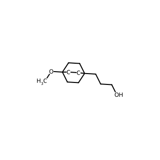 COC12CCC(CCCO)(CC1)CC2